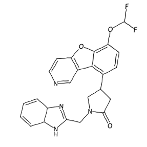 O=C1CC(c2ccc(OC(F)F)c3oc4ccncc4c23)CN1CC1=NC2C=CC=CC2N1